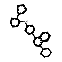 c1ccc(-c2ccccc2Nc2ccc(-c3ccc(C4CCCCC4)c4ccccc34)cc2)cc1